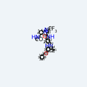 O=C(O)NCc1cccc(-n2nc(C(F)(F)F)cc2C(=O)Nc2cccc(CNCC3(c4cccc(OCc5ccccc5)c4)CC3)c2)c1